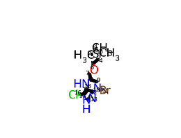 C[Si](C)(C)CCOCC1CN(Br)c2n[nH]c(Cl)c2N1